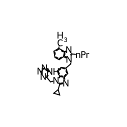 CCCc1nc2c(C)cccc2n1Cc1ccc2c(c1)nc(C1CC1)n2Cc1nnn[nH]1